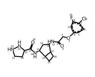 O=C(COc1ccc(Cl)c(F)c1)NC1C[C@H](NC(=O)C2CCNN2)C2CCC12